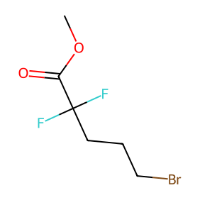 COC(=O)C(F)(F)CCCBr